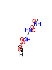 C=CC(=O)NCCOC(=O)NCCCCCCNC(=O)OCOC[Si](C)(C)O[SiH](C)C